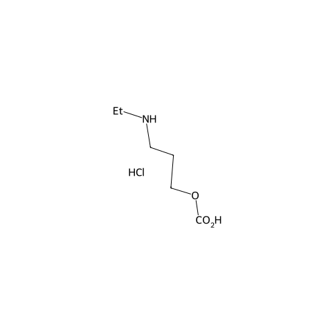 CCNCCCOC(=O)O.Cl